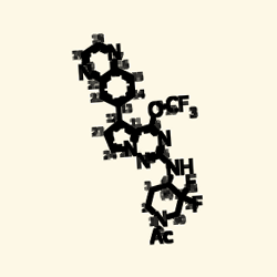 CC(=O)N1CC[C@@H](Nc2nc(OC(F)(F)F)c3c(-c4ccc5nccnc5c4)ccn3n2)C(F)(F)C1